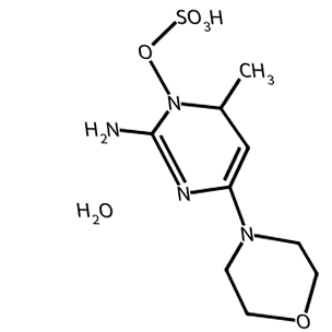 CC1C=C(N2CCOCC2)N=C(N)N1OS(=O)(=O)O.O